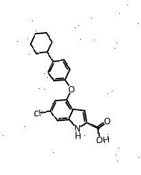 O=C(O)c1cc2c(Oc3ccc(C4CCCCC4)cc3)cc(Cl)cc2[nH]1